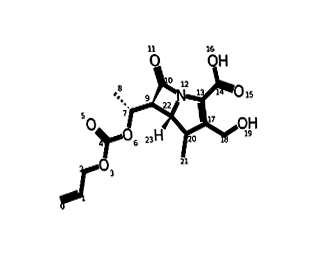 C=CCOC(=O)O[C@H](C)[C@H]1C(=O)N2C(C(=O)O)=C(CO)C(C)[C@H]12